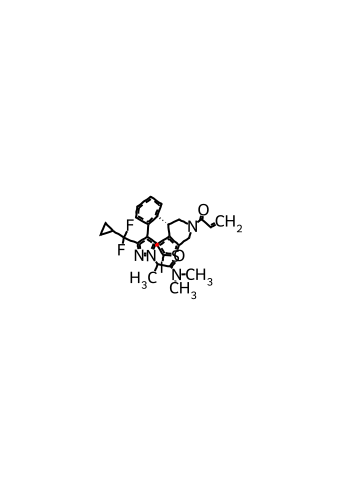 C=CC(=O)N1Cc2sc(I)cc2[C@H](c2ccccc2-c2cn(C(C)C(=O)N(C)C)nc2C(F)(F)C2CC2)C1